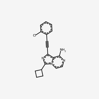 Nc1nccn2c(C3CCC3)nc(C#Cc3ccccc3Cl)c12